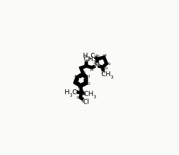 CC(Cc1ccc(C(C)(C)CCl)cc1)CN1C(C)CCC1C